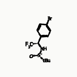 CC(C)(C)[S@@+]([O-])N[C@@H](c1ccc(Br)cc1)C(F)(F)F